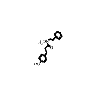 CN(CCc1ccccc1)C(=O)[CH]Cc1ccc(O)cc1